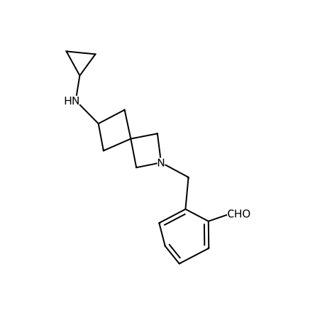 O=Cc1ccccc1CN1CC2(CC(NC3CC3)C2)C1